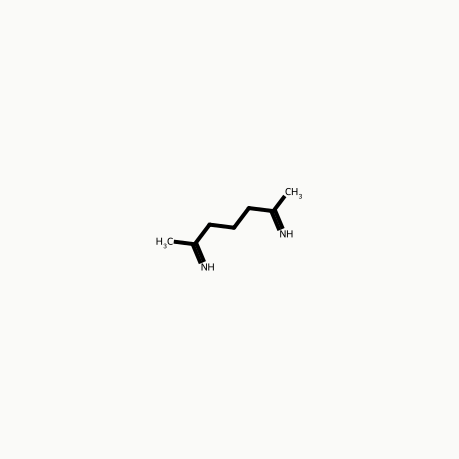 CC(=N)CCCC(C)=N